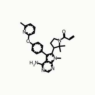 C=CC(=O)N1CCC(c2c(-c3ccc(Oc4cccc(C)n4)cc3)c3c(N)ncnc3n2C)C1(C)C